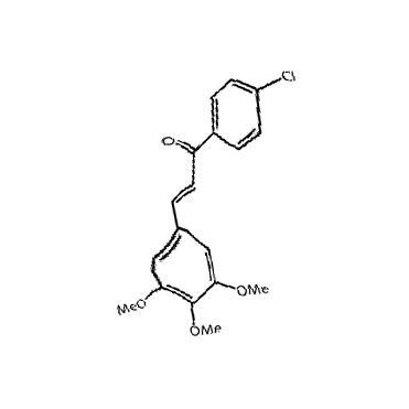 COc1cc(C=CC(=O)c2ccc(Cl)cc2)cc(OC)c1OC